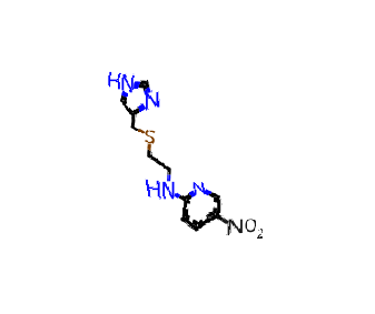 O=[N+]([O-])c1ccc(NCCSCc2c[nH]cn2)nc1